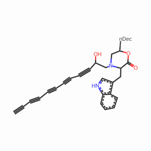 C#CC#CC#CC#CC#CC(O)CN1CC(CCCCCCCCCC)OC(=O)C1Cc1c[nH]c2ccccc12